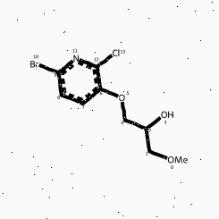 COCC(O)COc1ccc(Br)nc1Cl